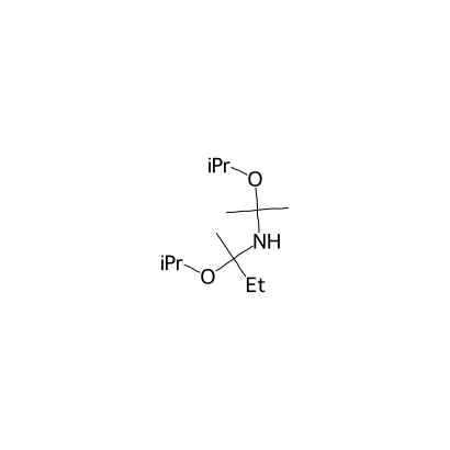 CCC(C)(NC(C)(C)OC(C)C)OC(C)C